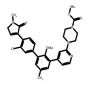 COc1c(-c2ccnc(N3CCN(C(=O)OC(C)(C)C)CC3)c2)cc(C)cc1-c1ccc(C2=CCN(C)C2=O)c(Cl)c1